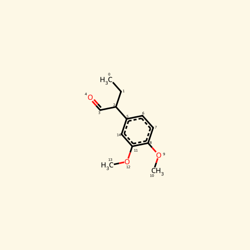 CCC(C=O)c1ccc(OC)c(OC)c1